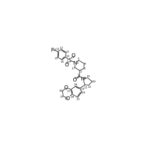 O=C(C1CCCN(S(=O)(=O)c2ccc(F)cc2)C1)N1CCCC1c1ccc2c(c1)OCCO2